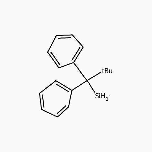 CC(C)(C)C([SiH2])(c1ccccc1)c1ccccc1